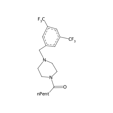 [CH2]CCCCC(=O)N1CCN(Cc2cc(C(F)(F)F)cc(C(F)(F)F)c2)CC1